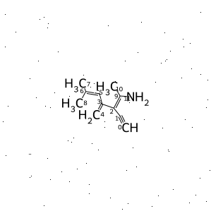 C#C/C(C(=C)C=C(C)C)=C(/C)N